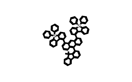 CC1(C)c2ccccc2-c2cccc(-c3c4cccc(-c5cccc6c5-c5ccccc5[Si]6(c5ccccc5)c5ccccc5)c4cc4c(-c5cccc6c5-c5ccccc5[Si]6(c5ccccc5)c5ccccc5)cccc34)c21